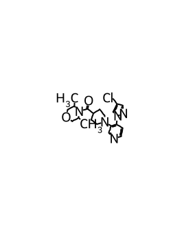 CC1COCC(C)N1C(=O)C1CCN(c2cnccc2-n2cc(Cl)cn2)CC1